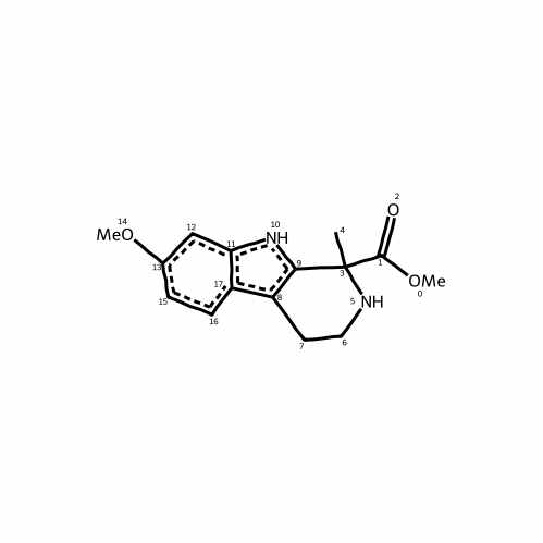 COC(=O)C1(C)NCCc2c1[nH]c1cc(OC)ccc21